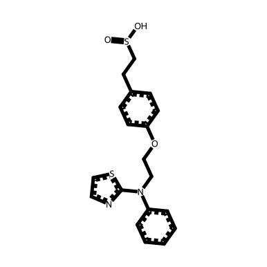 O=S(O)CCc1ccc(OCCN(c2ccccc2)c2nccs2)cc1